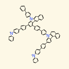 CN(c1ccccc1)c1ccc(-c2ccc(-c3ccc4c5c6ccccc6ccc5n(-c5ccc(-c6ccc(-c7cc(-c8ccc(-c9ccc(N(C)c%10ccccc%10)cc9)cc8)cc8c7c7cc9ccccc9cc7n8-c7ccc(-c8ccccc8)cc7)cc6)cc5)c4c3)cc2)cc1